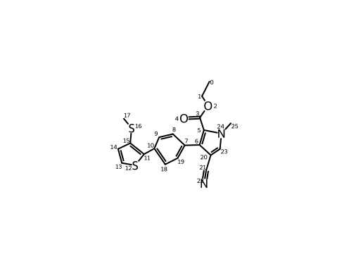 CCOC(=O)c1c(-c2ccc(-c3sccc3SC)cc2)c(C#N)cn1C